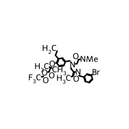 C=CCc1cc(CN(CC(=O)NC)Cc2nc(-c3cccc(Br)c3)oc2C)ccc1OC(C)(C)C(=O)OC(=O)C(F)(F)F